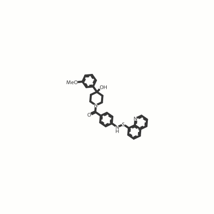 COc1cccc(C2(O)CCN(C(=O)c3ccc(NSc4cccc5cccnc45)cc3)CC2)c1